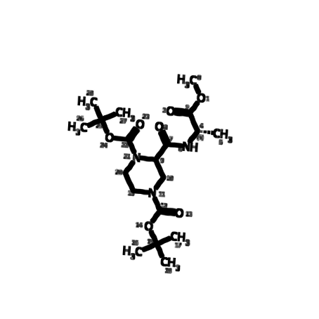 COC(=O)[C@H](C)NC(=O)C1CN(C(=O)OC(C)(C)C)CCN1C(=O)OC(C)(C)C